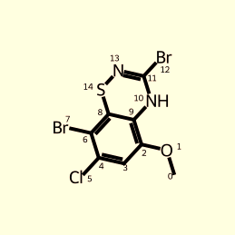 COc1cc(Cl)c(Br)c2c1NC(Br)=NS2